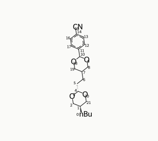 CCCC[C@H]1CO[C@H](CCC2COC(c3ccc(C#N)cc3)OC2)OC1